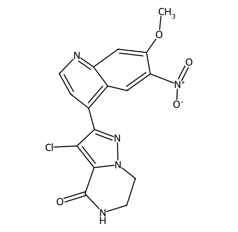 COc1cc2nccc(-c3nn4c(c3Cl)C(=O)NCC4)c2cc1[N+](=O)[O-]